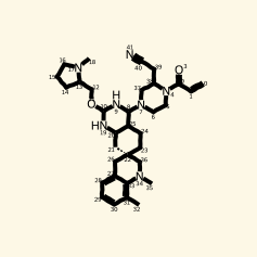 C=CC(=O)N1CCN(C2NC(OCC3CCCN3C)NC3C[C@@]4(CCC32)Cc2cccc(C)c2N(C)C4)CC1CC#N